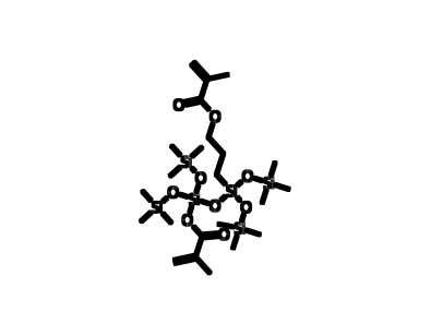 C=C(C)C(=O)OCCC[Si](O[Si](C)(C)C)(O[Si](C)(C)C)O[Si](OC(=O)C(=C)C)(O[Si](C)(C)C)O[Si](C)(C)C